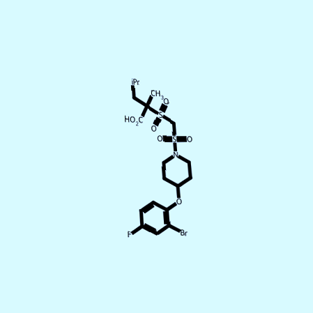 CC(C)CC(C)(C(=O)O)S(=O)(=O)CS(=O)(=O)N1CCC(Oc2ccc(F)cc2Br)CC1